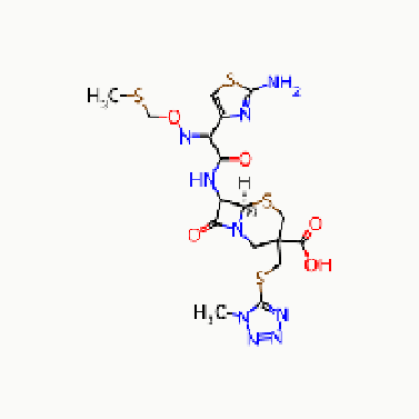 CSCON=C(C(=O)NC1C(=O)N2CC(CSc3nnnn3C)(C(=O)O)CS[C@H]12)c1csc(N)n1